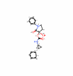 O=C(N[C@H]1C[C@@H]1c1ccccc1)O[C@@]1(O)CCN(c2ccccc2)C1=O